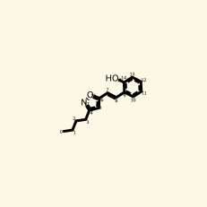 CCCCc1cc(C=Cc2ccccc2O)on1